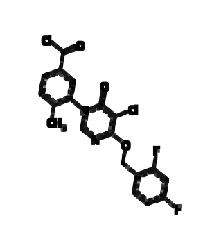 Cc1ccc(C(=O)Cl)cc1-n1cnc(OCc2ccc(F)cc2F)c(Cl)c1=O